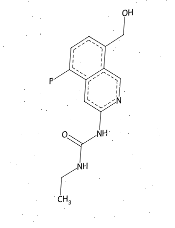 CCNC(=O)Nc1cc2c(F)ccc(CO)c2cn1